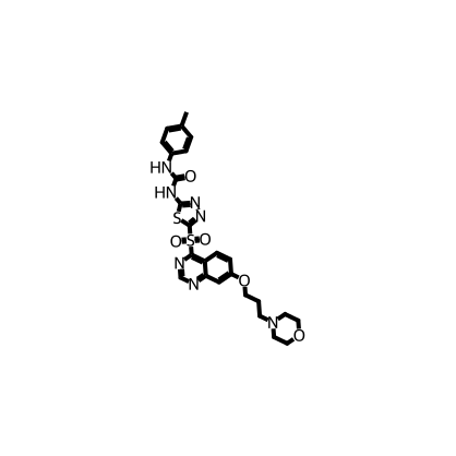 Cc1ccc(NC(=O)Nc2nnc(S(=O)(=O)c3ncnc4cc(OCCCN5CCOCC5)ccc34)s2)cc1